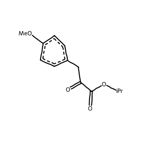 COc1ccc(CC(=O)C(=O)OC(C)C)cc1